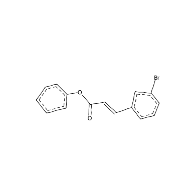 O=C(C=Cc1cccc(Br)c1)Oc1ccccc1